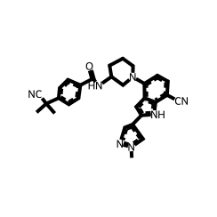 Cn1cc(-c2cc3c(N4CCCC(NC(=O)c5ccc(C(C)(C)C#N)cc5)C4)ccc(C#N)c3[nH]2)cn1